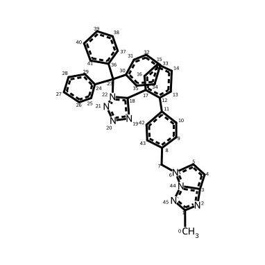 Cc1nc2ccn(Cc3ccc(-c4ccccc4-c4nnnn4C(c4ccccc4)(c4ccccc4)c4ccccc4)cc3)n2n1